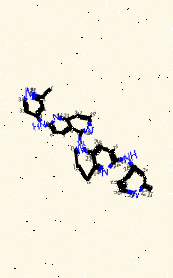 Cc1cc(Nc2ccc3c(-[n+]4cccc5nc(Nc6ccnc(C)c6)ccc54)nccc3n2)ccn1